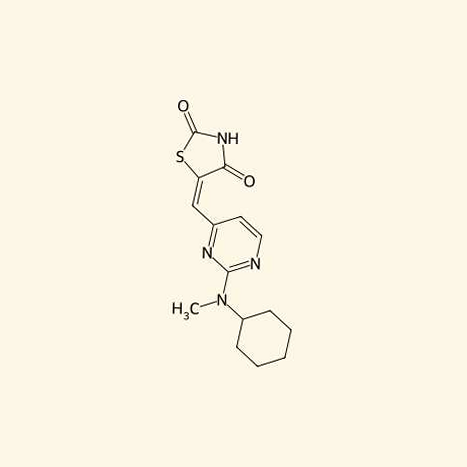 CN(c1nccc(/C=C2/SC(=O)NC2=O)n1)C1CCCCC1